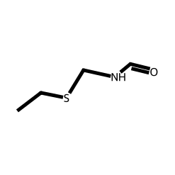 CCSCNC=O